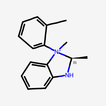 Cc1ccccc1[N+]1(C)c2ccccc2N[C@@H]1C